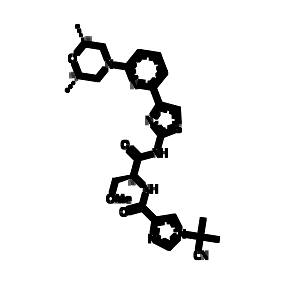 COC[C@H](NC(=O)c1cn(C(C)(C)C#N)cn1)C(=O)Nc1nc(-c2cccc(N3C[C@@H](C)O[C@@H](C)C3)n2)cs1